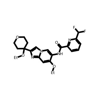 CCOc1cc2nc(C3(OCC)CCOCC3)cn2cc1NC(=O)c1cccc(C(F)F)n1